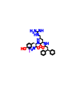 N=C(N)NCCC[C@@H](NC(=O)CC(c1ccccc1)c1ccccc1)C(=O)N[C@@H](Cc1ccc(O)c(I)c1)C(N)=O